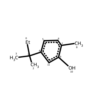 CCC(C)(C)c1ccc(C)c(O)c1